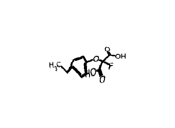 CCc1ccc(OC(F)(C(=O)O)C(=O)O)cc1